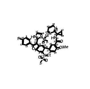 CCN(c1cc2oc(-c3ccc(F)cc3)c(C3NC=CN3S(C)(=O)=O)c2cc1-c1ccc(OC)c(C(=O)NC2(c3ncccn3)CC2)c1)S(C)(=O)=O